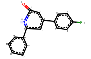 O=c1cc(-c2ccc(F)cc2)cc(-c2ccccc2)[nH]1